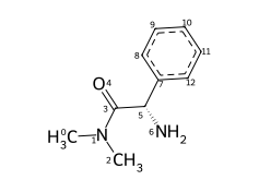 CN(C)C(=O)[C@@H](N)c1ccccc1